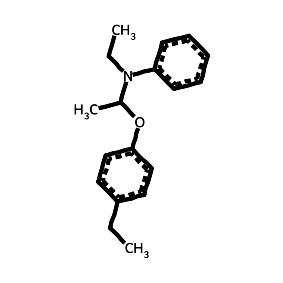 CCc1ccc(OC(C)N(CC)c2ccccc2)cc1